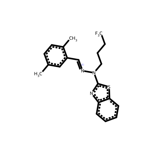 Cc1ccc(C)c(/C=N/N(CCCC(F)(F)F)c2nc3ccccc3s2)c1